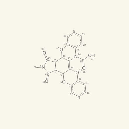 CN1C(=O)C2C3Oc4ccccc4OC3=C3C(Oc4ccccc4N3C(=O)O)C2C1=O